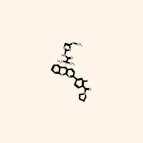 CSc1cnc(NC(=O)C(C)(C)[C@H]2c3ccccc3Oc3nc(-c4ccc(C(=O)N5CCCC5)c(F)c4)ccc32)s1